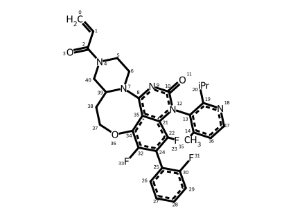 C=CC(=O)N1CCN2c3nc(=O)n(-c4c(C)ccnc4C(C)C)c4c(F)c(-c5ccccc5F)c(F)c(c34)OCCC2C1